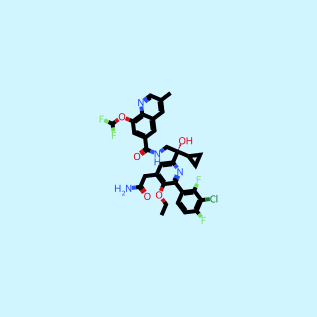 CCOc1c(CC(N)=O)cc([C@@](O)(CNC(=O)c2cc(OC(F)F)c3ncc(C)cc3c2)C2CC2)nc1-c1ccc(F)c(Cl)c1F